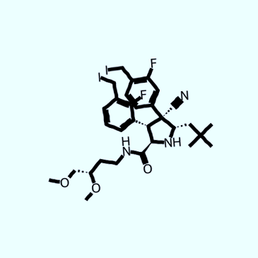 COC[C@H](CCNC(=O)[C@@H]1N[C@@H](CC(C)(C)C)[C@](C#N)(c2ccc(CI)c(F)c2)[C@H]1c1cccc(CI)c1F)OC